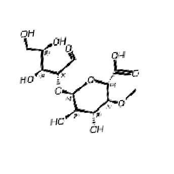 CO[C@H]1[C@H](O)[C@@H](O)[C@@H](O[C@@H](C=O)[C@@H](O)[C@H](O)CO)O[C@@H]1C(=O)O